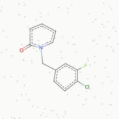 O=c1ccccn1Cc1ccc(Cl)c(F)c1